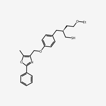 CCOCC[C@@H](CS)Cc1ccc(OCc2nc(-c3ccccc3)oc2C)cc1